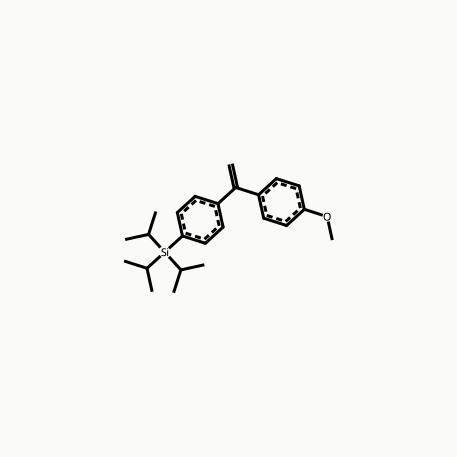 C=C(c1ccc(OC)cc1)c1ccc([Si](C(C)C)(C(C)C)C(C)C)cc1